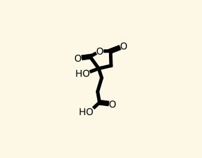 O=C(O)CCC1(O)CC(=O)OC1=O